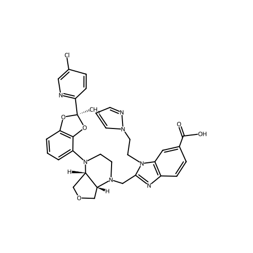 C[C@@]1(c2ccc(Cl)cn2)Oc2cccc(N3CCN(Cc4nc5ccc(C(=O)O)cc5n4CCn4cccn4)[C@@H]4COC[C@@H]43)c2O1